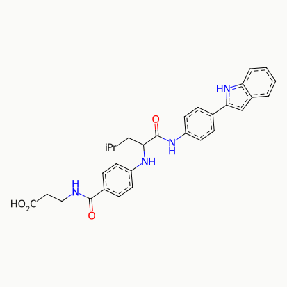 CC(C)CC(Nc1ccc(C(=O)NCCC(=O)O)cc1)C(=O)Nc1ccc(-c2cc3ccccc3[nH]2)cc1